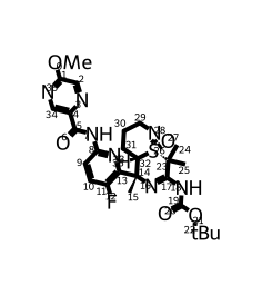 COc1cnc(C(=O)Nc2ccc(F)c([C@@]3(C)N=C(NC(=O)OC(C)(C)C)C(C)(C)[S@@]4(=O)=NCCC[C@@H]34)n2)cn1